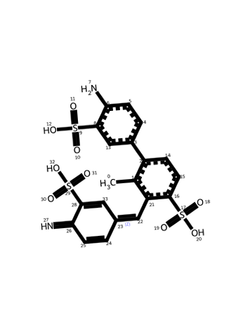 Cc1c(-c2ccc(N)c(S(=O)(=O)O)c2)ccc(S(=O)(=O)O)c1/C=C1/C=CC(=N)C(S(=O)(=O)O)=C1